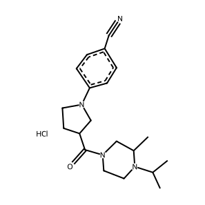 CC(C)N1CCN(C(=O)C2CCN(c3ccc(C#N)cc3)C2)CC1C.Cl